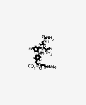 CC[C@@H]1CC(Nc2ccc(C[C@H](NC(=O)CCNC)C(=O)O)cc2)C([C@H](CCCNC(N)=O)NC(=O)C(N)C(C)C)C1